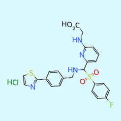 Cl.O=C(O)CNc1cccc(C(NCc2ccc(-c3nccs3)cc2)S(=O)(=O)c2ccc(F)cc2)n1